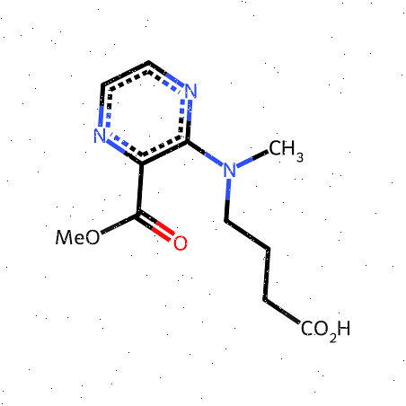 COC(=O)c1nccnc1N(C)CCCC(=O)O